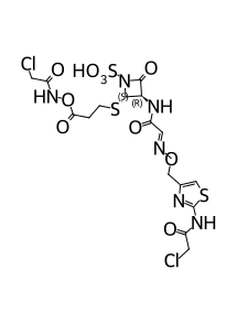 O=C(C=NOCc1csc(NC(=O)CCl)n1)N[C@@H]1C(=O)N(S(=O)(=O)O)[C@H]1SCCC(=O)ONC(=O)CCl